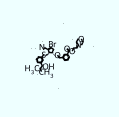 CC(C)C(O)c1cccc(SC[C@H]2C(C#N)=C(Br)C[C@@H]2COCc2cccc(C(=O)OCCN3CCOCC3)c2)c1